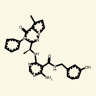 Cc1ccn2nc([C@H](C)Nc3ncnc(N)c3C(=O)NCc3cccc(O)c3)n(-c3ccccc3)c(=O)c12